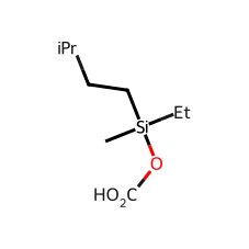 CC[Si](C)(CCC(C)C)OC(=O)O